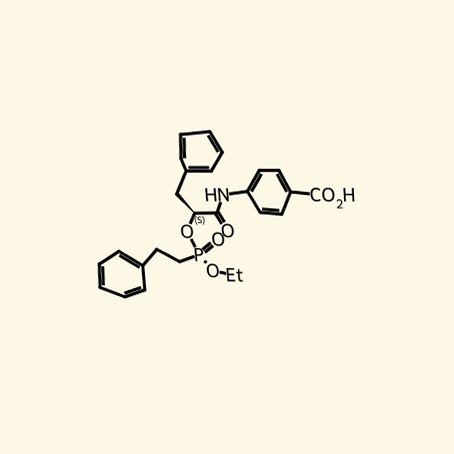 CCOP(=O)(CCc1ccccc1)O[C@@H](Cc1ccccc1)C(=O)Nc1ccc(C(=O)O)cc1